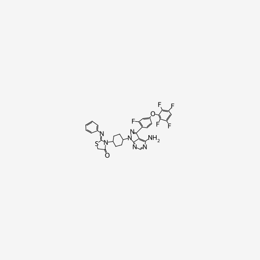 Nc1ncnc2c1c(-c1ccc(Oc3c(F)c(F)cc(F)c3F)cc1F)nn2C1CCC(N2C(=O)CS/C2=N\c2ccccc2)CC1